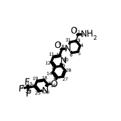 NC(=O)[C@H]1CCCN(C(=O)c2ccc3cc(Oc4ccc(C(F)(F)F)cn4)ccc3n2)C1